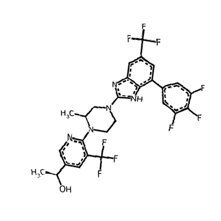 CC1CN(c2nc3cc(C(F)(F)F)cc(-c4cc(F)c(F)c(F)c4)c3[nH]2)CCN1c1ncc([C@H](C)O)cc1C(F)(F)F